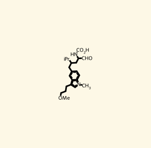 COCCCc1cn(C)c2ccc(CC(CC(C=O)NC(=O)O)C(C)C)cc12